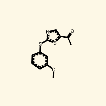 COc1cccc(Sc2ncc(C(C)=O)s2)c1